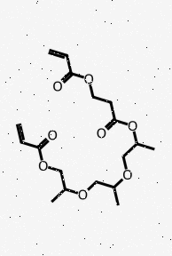 C=CC(=O)OCCC(=O)OC(C)COC(C)COC(C)COC(=O)C=C